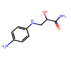 NC(=O)C(O)CNc1ccc(N)cc1